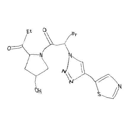 CCC(=O)C1CC(O)CN1C(=O)C(C(C)C)n1cc(-c2cncs2)nn1